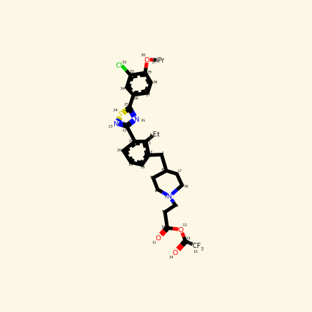 CCc1c(CC2CCN(CCC(=O)OC(=O)C(F)(F)F)CC2)cccc1-c1nsc(-c2ccc(OC(C)C)c(Cl)c2)n1